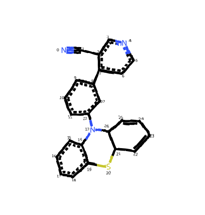 N#Cc1cnccc1-c1cccc(N2c3ccccc3SC3C=CC=CC32)c1